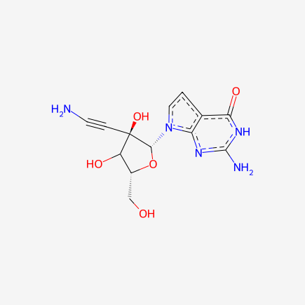 NC#C[C@@]1(O)C(O)[C@@H](CO)O[C@H]1n1ccc2c(=O)[nH]c(N)nc21